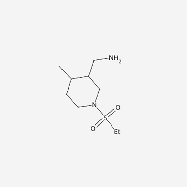 CCS(=O)(=O)N1CCC(C)C(CN)C1